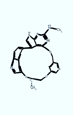 CNc1nc2c3c(c[nH]c3n1)-c1ccc3ncc(cc3c1)O[C@@H](C)COc1cncc(c1)CO2